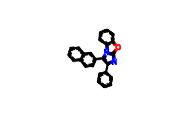 c1ccc(-c2nc3oc4ccccc4n3c2-c2ccc3ccccc3c2)cc1